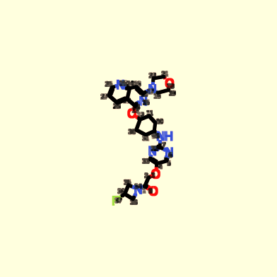 O=C(COc1cnc(NC2CCC(Oc3nc(N4CCOCC4)cc4ncccc34)CC2)nc1)N1CC(F)C1